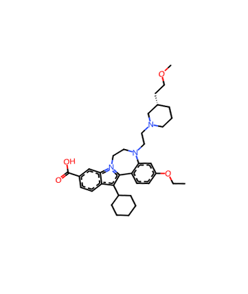 CCOc1ccc2c(c1)N(CCN1CCC[C@@H](CCOC)C1)CCn1c-2c(C2CCCCC2)c2ccc(C(=O)O)cc21